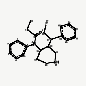 CCC(=O)N(c1ccccc1)C1CCNCC1C(CF)c1ccccc1